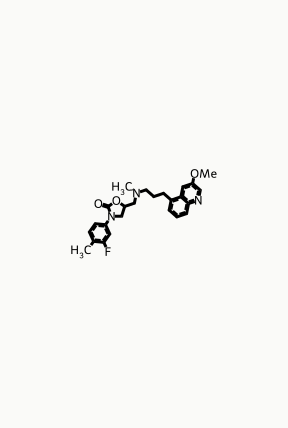 COc1cnc2cccc(CCCN(C)CC3CN(c4ccc(C)c(F)c4)C(=O)O3)c2c1